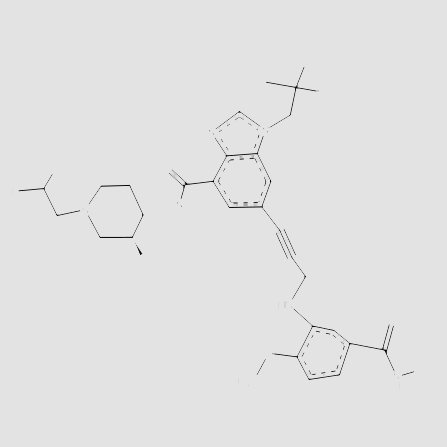 CNC(=O)c1ccc(OC)c(NCC#Cc2cc(C(=O)N[C@H]3CCN(CC(F)F)C[C@@H]3C)c3ncn(CC(F)(F)F)c3c2)c1